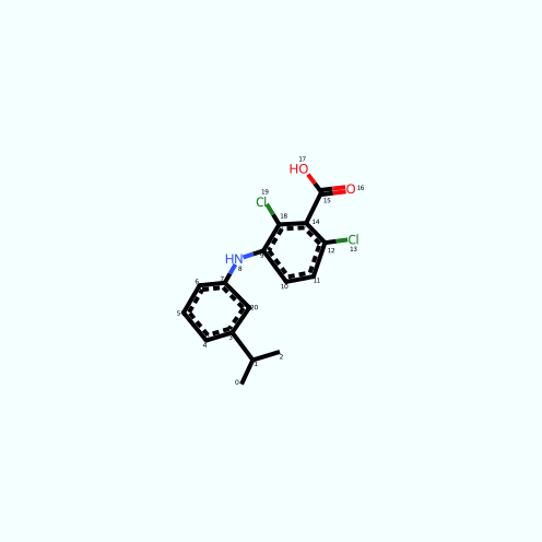 CC(C)c1cccc(Nc2ccc(Cl)c(C(=O)O)c2Cl)c1